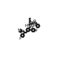 CSCC[C@H](NC(=O)c1ccc(C=C(Cn2ccnc2)c2ccc(F)cc2)cc1-c1ccc(F)cc1)C(=O)NS(=O)(=O)Cc1ccccc1